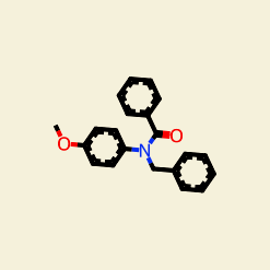 COc1ccc(N(Cc2ccccc2)C(=O)c2ccccc2)cc1